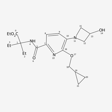 CCOC(=O)C(CC)(CC)NC(=O)c1ccc(N2CC(O)C2)c(OCC2CC2)n1